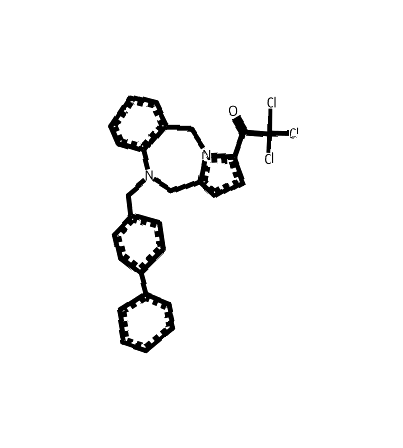 O=C(c1ccc2n1Cc1ccccc1N(Cc1ccc(-c3ccccc3)cc1)C2)C(Cl)(Cl)Cl